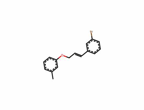 Cc1cccc(OCC=Cc2cccc(Br)c2)c1